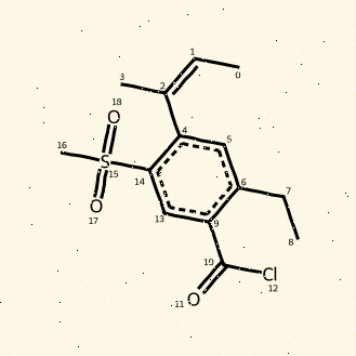 C/C=C(/C)c1cc(CC)c(C(=O)Cl)cc1S(C)(=O)=O